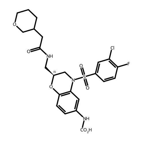 O=C(O)Nc1ccc2c(c1)N(S(=O)(=O)c1ccc(F)c(Cl)c1)C[C@H](CNC(=O)CC1CCCOC1)O2